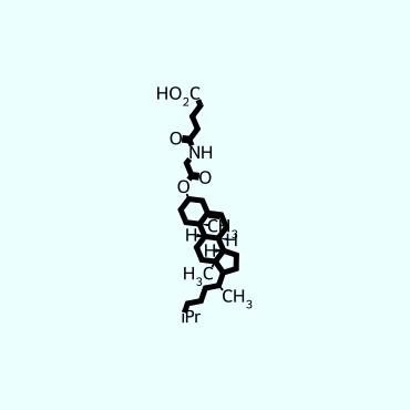 CC(C)CCC[C@@H](C)C1CC[C@H]2[C@@H]3CC=C4C[C@@H](OC(=O)CNC(=O)CCCC(=O)O)CC[C@]4(C)[C@H]3CC[C@]12C